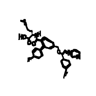 CSCC[C@H](NC(=O)c1ccc(COC(Cn2ccnc2)c2ccc(F)cc2)cc1-c1ccc(F)cc1)C(=O)O